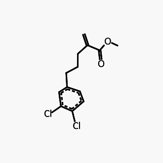 C=C(CCCc1ccc(Cl)c(Cl)c1)C(=O)OC